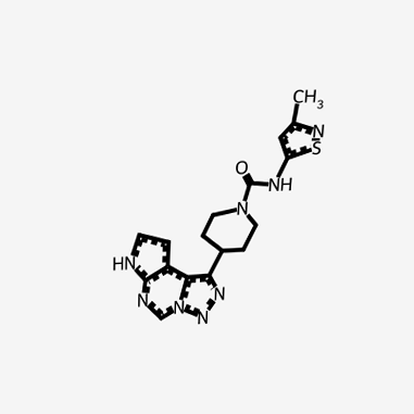 Cc1cc(NC(=O)N2CCC(c3nnn4cnc5[nH]ccc5c34)CC2)sn1